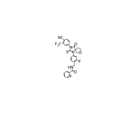 N#Cc1ccc(N2C(=O)C3(CCOC3)N(c3ccc(CNC(=O)c4ccccn4)c(F)c3)C2=S)cc1C(F)(F)F